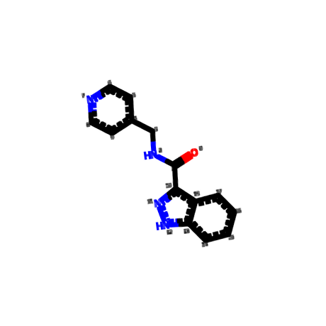 O=C(NCc1ccncc1)c1n[nH]c2ccccc12